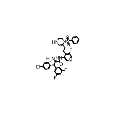 N[C@H](C(=O)Nc1cncc(F)c1CC[C@H]1CNCCN1S(=O)(=O)c1ccccc1)[C@@H](c1ccc(Cl)cc1)c1cc(F)cc(F)c1